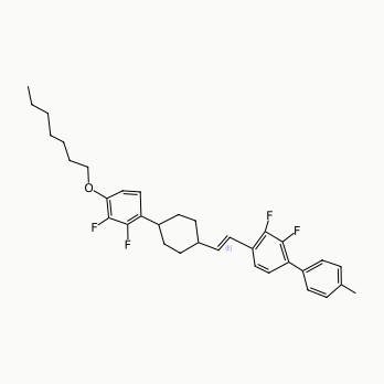 CCCCCCCOc1ccc(C2CCC(/C=C/c3ccc(-c4ccc(C)cc4)c(F)c3F)CC2)c(F)c1F